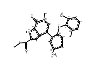 CCC(=O)c1cc2c(-c3cc(N)ccc3Oc3c(C)cccc3Cl)cn(C)c(=O)c2[nH]1